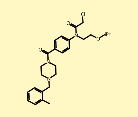 Cc1ccccc1CN1CCN(C(=O)c2ccc(N(CCOC(C)C)C(=O)CCl)cc2)CC1